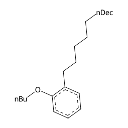 CCCCCCCCCCCCCCCc1ccccc1OCCCC